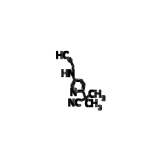 C#CCNc1ccc(C(C)(C)C#N)nc1